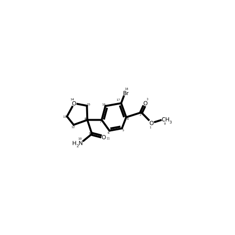 COC(=O)c1ccc(C2(C(N)=O)CCOC2)cc1Br